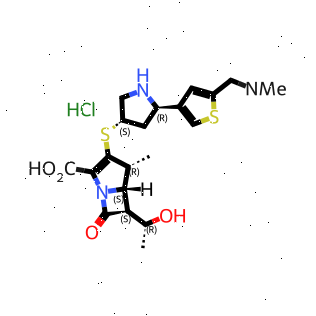 CNCc1cc([C@H]2C[C@H](SC3=C(C(=O)O)N4C(=O)[C@H]([C@@H](C)O)[C@H]4[C@H]3C)CN2)cs1.Cl